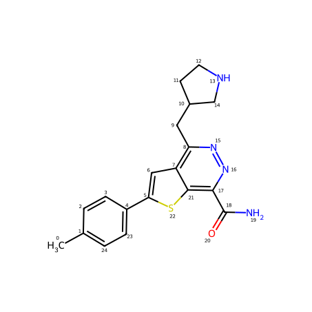 Cc1ccc(-c2cc3c(CC4CCNC4)nnc(C(N)=O)c3s2)cc1